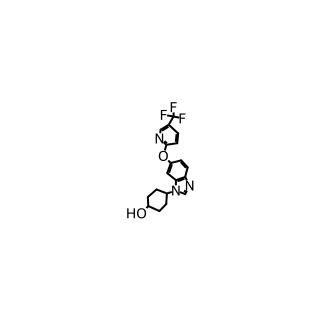 OC1CCC(n2cnc3ccc(Oc4ccc(C(F)(F)F)cn4)cc32)CC1